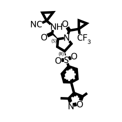 Cc1noc(C)c1-c1ccc(S(=O)(=O)[C@@H]2C[C@@H](C(=O)NC3(C#N)CC3)N(C(=O)C3(C(F)(F)F)CC3)C2)cc1